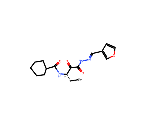 CC(C)C[C@H](NC(=O)C1CCCCC1)C(=O)C(=O)NN=Cc1ccoc1